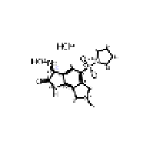 CN1Cc2c(S(=O)(=O)N3CCCC3)cc3c(c2C1)NC(=O)/C3=N\O.Cl